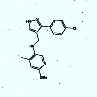 COc1cc(C)c(NCc2c[nH]nc2-c2ccc(Cl)cc2)cn1